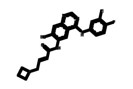 O=C(/C=C/CN1CCC1)Nc1cc2c(Nc3ccc(F)c(Cl)c3)ncnc2cc1O